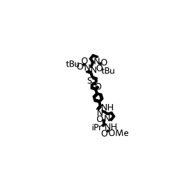 COC(=O)NC(C(=O)N1CCCC1c1ncc(-c2ccc(-c3cc4sc(-c5cn(C(=O)OC(C)(C)C)c(C6CCCN6C(=O)OC(C)(C)C)n5)cc4o3)cc2)[nH]1)C(C)C